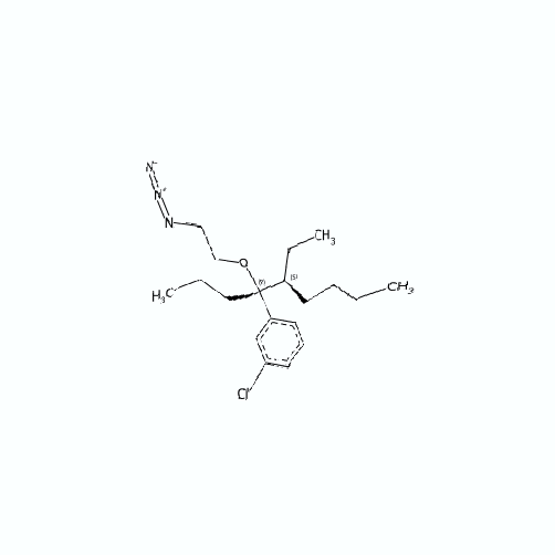 CCCC[C@H](CC)[C@@](CCC)(OCCN=[N+]=[N-])c1cccc(Cl)c1